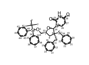 CC(C)(C)[Si](OC[C@@H]1CC(Sc2ccccc2)(Sc2ccccc2)C(n2ccc(=O)[nH]c2=O)O1)(c1ccccc1)c1ccccc1